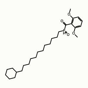 COc1cccc(OC)c1C(=O)[PH](=O)CCCCCCCCCCCCC1CCCCC1